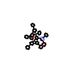 c1ccc(-c2ccc([Si](c3ccccc3)(c3ccc(-c4ccccc4)cc3)c3cc(-c4cc(-c5ccccc5)nc(-c5ccccc5)n4)cc([Si](c4ccccc4)(c4ccc(-c5ccccc5)cc4)c4ccc(-c5ccccc5)cc4)c3)cc2)cc1